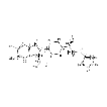 Cc1cc2nc(N3CCC(C(=O)NCc4nccs4)CC3)n(C(C)C)c2cc1C